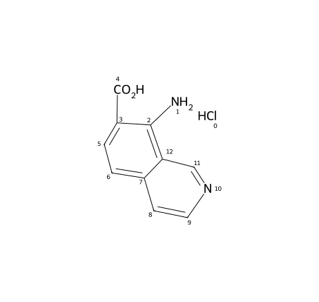 Cl.Nc1c(C(=O)O)ccc2ccncc12